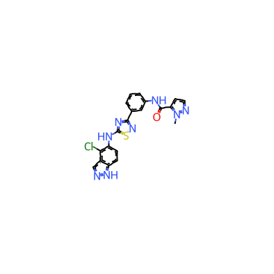 Cn1nccc1C(=O)Nc1cccc(-c2nsc(Nc3ccc4[nH]ncc4c3Cl)n2)c1